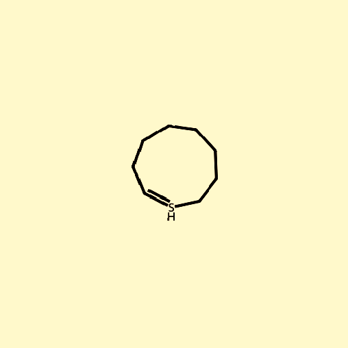 C1=[SH]CCCCCCC1